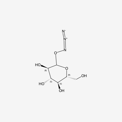 [N-]=[N+]=NOC1O[C@H](CO)[C@@H](O)[C@H](O)[C@H]1O